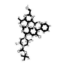 CC(C)c1nc(C=O)nc(C(C)C)c1-n1c(=O)nc(N2C[C@@H](C)N(C(=O)OC(C)(C)C)C[C@@H]2C)c2cc(Cl)c(-c3ccccc3F)nc21